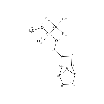 COC(C)(OCC1CC2C3C=CC(C3)C12)C(F)(F)F